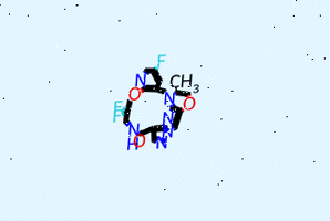 C[C@@H]1COc2cn3ncc4c3nc2N1Cc1cc(F)cnc1OCC(F)(F)CNC4=O